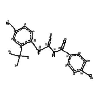 CC(C)(C)c1cc(Br)ccc1NC(=S)NC(=O)c1ccc(Cl)cc1